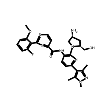 COc1cccc(F)c1-c1nccc(C(=O)Nc2ccc(-c3c(C)nn(C)c3C)nc2N2C[C@@H](N)C[C@H]2CO)n1